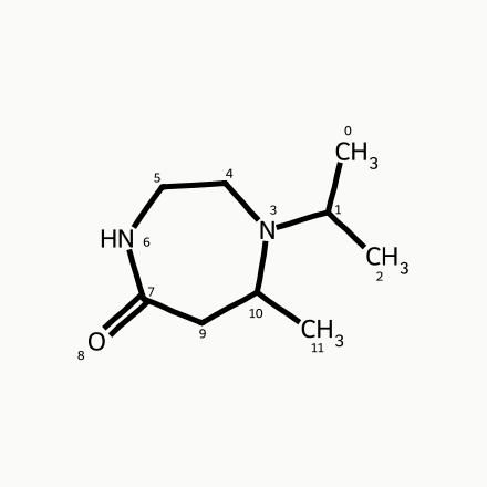 CC(C)N1CCNC(=O)CC1C